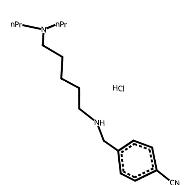 CCCN(CCC)CCCCCNCc1ccc(C#N)cc1.Cl